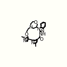 Cc1cc2cc(n1)-c1cnn(C)c1OCCN1CCOCC(C1)n1c(nc3ccccc31)NC2=O